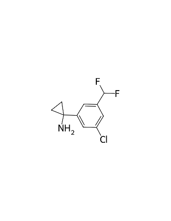 NC1(c2cc(Cl)cc(C(F)F)c2)CC1